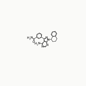 NC(=O)c1cccc(-c2nn(C3CCCc4ccccc43)c3ncnc(N)c23)c1